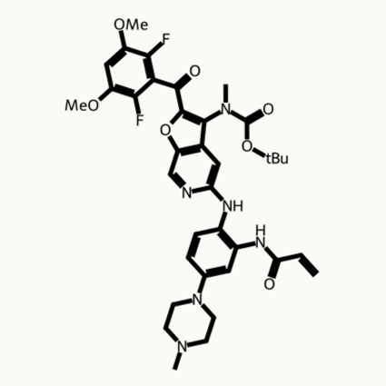 C=CC(=O)Nc1cc(N2CCN(C)CC2)ccc1Nc1cc2c(N(C)C(=O)OC(C)(C)C)c(C(=O)c3c(F)c(OC)cc(OC)c3F)oc2cn1